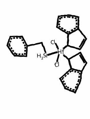 [Cl][Hf]([Cl])([SiH2]Cc1ccccc1)([CH]1C=Cc2ccccc21)[CH]1C=Cc2ccccc21